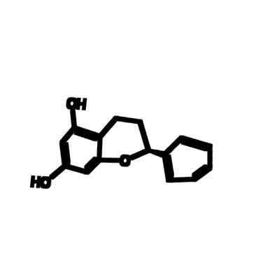 Oc1cc(O)c2c(c1)O[C@H](c1ccccc1)CC2